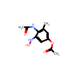 CC(=O)Nc1c(C)cc(OC(C)=O)cc1NO